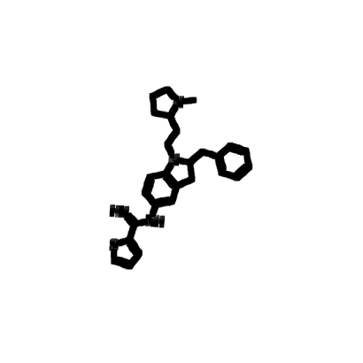 CN1CCCC1CCN1c2ccc(NC(=N)c3cccs3)cc2CC1Cc1ccccc1